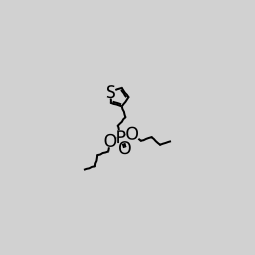 CCCCOP(=O)(CCc1ccsc1)OCCCC